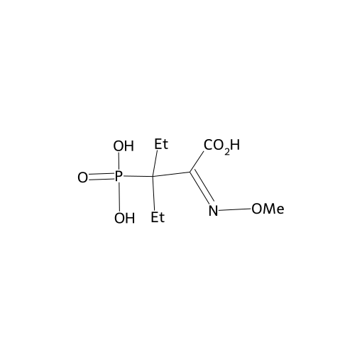 CCC(CC)(C(=NOC)C(=O)O)P(=O)(O)O